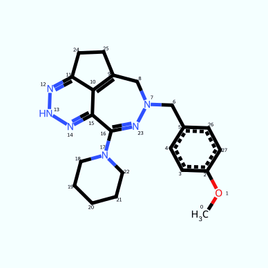 COc1ccc(CN2CC3=C4C(=NNN=C4C(N4CCCCC4)=N2)CC3)cc1